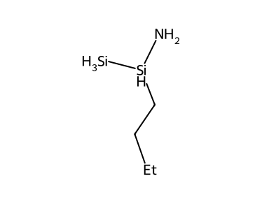 CCCC[SiH](N)[SiH3]